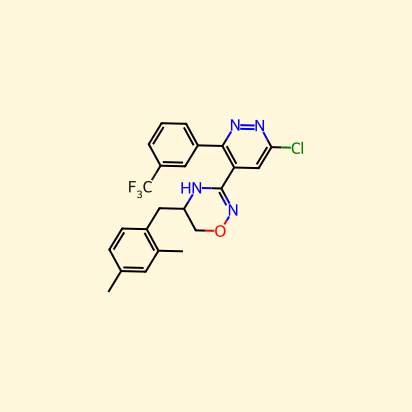 Cc1ccc(CC2CON=C(c3cc(Cl)nnc3-c3cccc(C(F)(F)F)c3)N2)c(C)c1